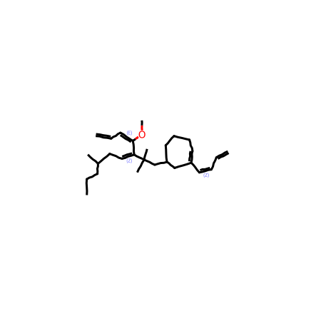 C=C/C=C\C1=CCCCC(CC(C)(C)C(=C/CC(C)CCC)/C(=C\C=C)OC)C1